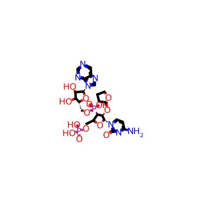 Nc1ccn([C@@H]2OC(COP(=O)(O)O)[C@@H](P(=O)(O)OC[C@H]3O[C@@H](n4cnc5cncnc54)C(O)C3O)[C@H]2OC2CCCO2)c(=O)n1